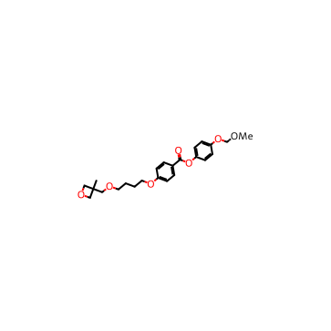 COCOc1ccc(OC(=O)c2ccc(OCCCCOCC3(C)COC3)cc2)cc1